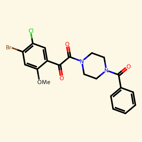 COc1cc(Br)c(Cl)cc1C(=O)C(=O)N1CCN(C(=O)c2ccccc2)CC1